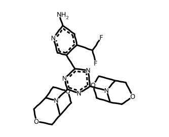 Nc1cc(C(F)F)c(-c2nc(N3C4COCC3COC4)nc(N3C4COCC3COC4)n2)cn1